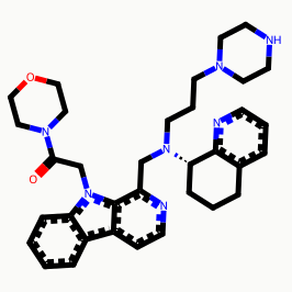 O=C(Cn1c2ccccc2c2ccnc(CN(CCCN3CCNCC3)[C@H]3CCCc4cccnc43)c21)N1CCOCC1